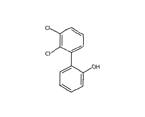 Oc1ccccc1-c1cccc(Cl)c1Cl